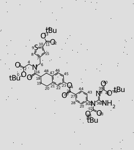 CC(C)(C)OC(=O)CN(Cc1csc(C(=O)OC(C)(C)C)c1)C(=O)C1CCc2cc(OC(=O)c3ccc(N(C(=O)OC(C)(C)C)C(N)=NC(=O)OC(C)(C)C)cc3)ccc2C1